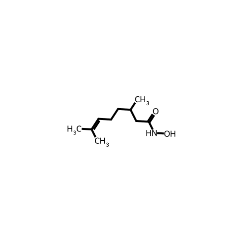 CC(C)=CCCC(C)CC(=O)NO